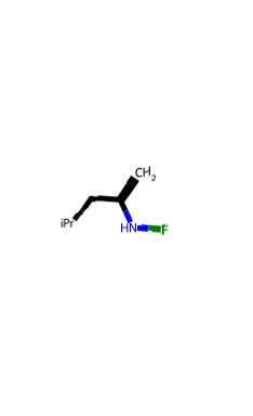 C=C(CC(C)C)NF